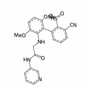 COc1ccc(OC)c(-c2cccc(C#N)c2[SH](=O)=O)c1NCC(=O)Nc1cccnc1